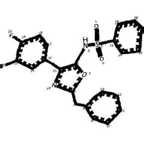 O=S(=O)(Nc1oc(Cc2ccccc2)nc1-c1ccc(F)c(F)c1)c1ccccc1